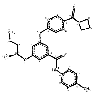 COC[C@H](C)Oc1cc(Oc2cnc(C(=O)N3CCC3)cn2)cc(C(=O)Nc2cnc(C)cn2)c1